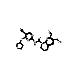 N#Cc1cnc(NC(=O)N2CCCc3cc(CO)c(C=O)nc32)nc1OC1CCOC1